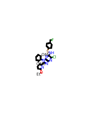 CCOc1cccc(-c2nc3nc(Cl)c(NSc4ccc(CF)cc4)nc3n2-c2c(OC)cccc2OC)n1